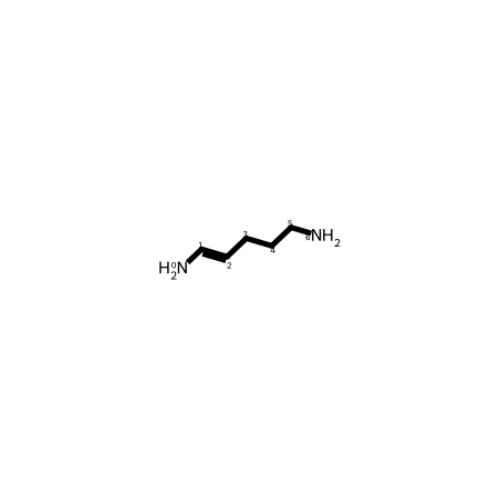 N/C=C/CCCN